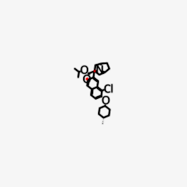 CC(C)OC(=O)C1CC2CCC(C1)N2Cc1ccc2ccc(O[C@H]3CC[C@@H](C)CC3)c(Cl)c2c1